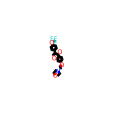 O=c1c(-c2ccc(OC(F)(F)F)cc2)coc2cc(OCCN3CCOCC3)ccc12